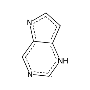 [c]1ncc2nccc-2[nH]1